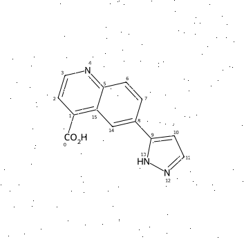 O=C(O)c1ccnc2ccc(-c3ccn[nH]3)cc12